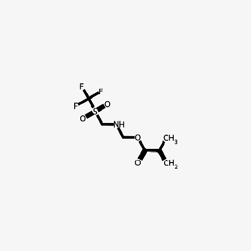 C=C(C)C(=O)OCNCS(=O)(=O)C(F)(F)F